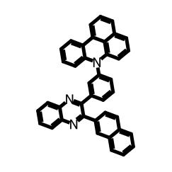 c1cc(-c2nc3ccccc3nc2-c2ccc3ccccc3c2)cc(N2c3ccccc3-c3cccc4cccc2c34)c1